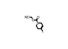 N#CCOC(=O)N1CC=C(I)CC1